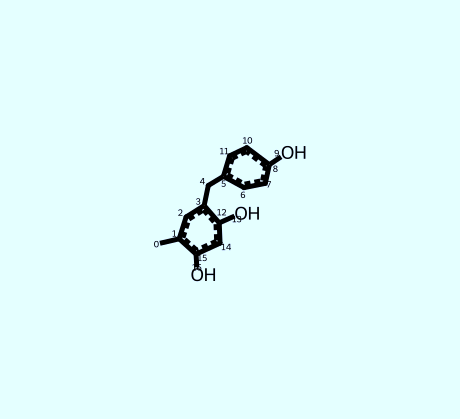 Cc1cc(Cc2ccc(O)cc2)c(O)cc1O